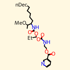 CCCCCCCCCCCCCCCC(NC(=O)OC(CC)OC(=O)NCCOC(=O)c1cccnc1)C(C)OC